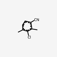 Cc1ccc(C#N)c(C)c1Cl